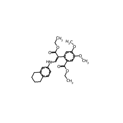 CCOC(=O)C(=CNc1ccc2c(c1)CCCC2)c1cc(OC)c(OC)cc1C(=O)OCC